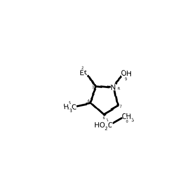 CC(=O)O.CCC1C(C)CCN1O